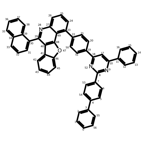 c1ccc(-c2ccc(-c3nc(-c4ccccc4)cc(-c4ccc(-c5cccc6nc(-c7cccc8ccccc78)c7c8ccccc8oc7c56)cc4)n3)cc2)cc1